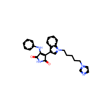 O=C1NC(=O)C(c2cn(CCCCCn3ccnc3)c3ccccc23)=C1Nc1ccccc1